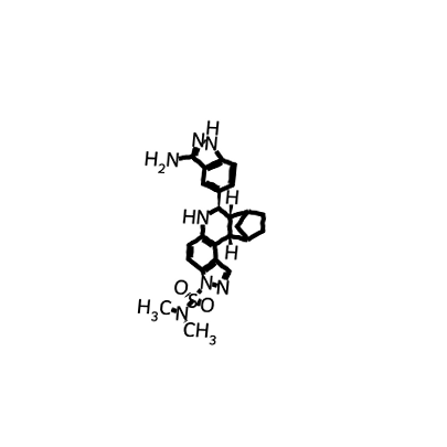 CN(C)S(=O)(=O)n1ncc2c3c(ccc21)N[C@@H](c1ccc2[nH]nc(N)c2c1)[C@@H]1C2CCC(C2)[C@H]31